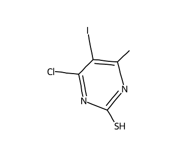 Cc1nc(S)nc(Cl)c1I